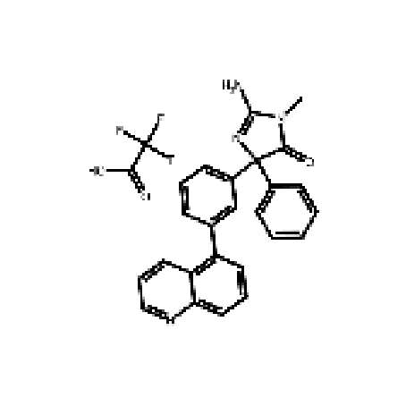 CN1C(=O)C(c2ccccc2)(c2cccc(-c3cccc4ncccc34)c2)N=C1N.O=C(O)C(F)(F)F